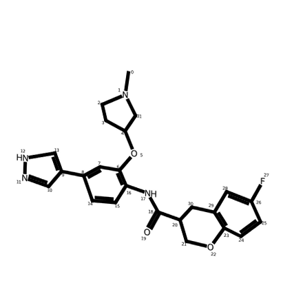 CN1CCC(Oc2cc(-c3cn[nH]c3)ccc2NC(=O)C2COc3ccc(F)cc3C2)C1